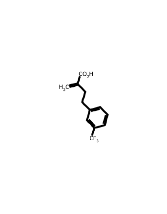 C=C(CCc1cccc(C(F)(F)F)c1)C(=O)O